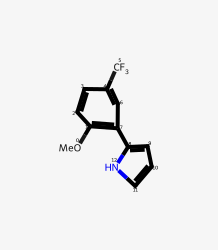 COc1ccc(C(F)(F)F)cc1-c1ccc[nH]1